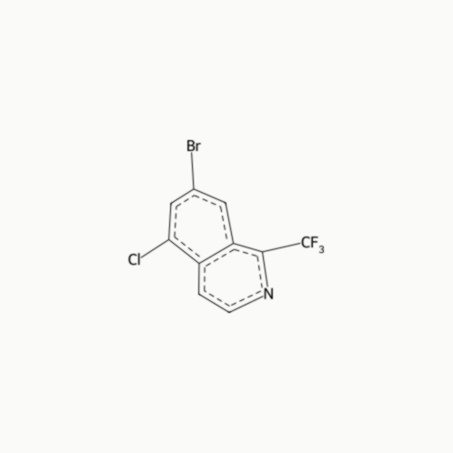 FC(F)(F)c1nccc2c(Cl)cc(Br)cc12